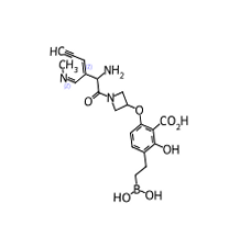 C#C/C=C(\C=N/C)C(N)C(=O)N1CC(Oc2ccc(CCB(O)O)c(O)c2C(=O)O)C1